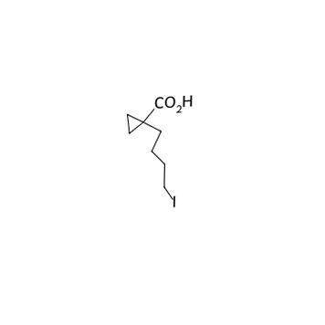 O=C(O)C1(CCCCI)CC1